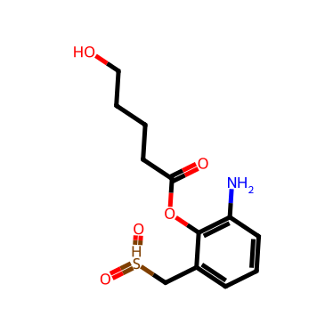 Nc1cccc(C[SH](=O)=O)c1OC(=O)CCCCO